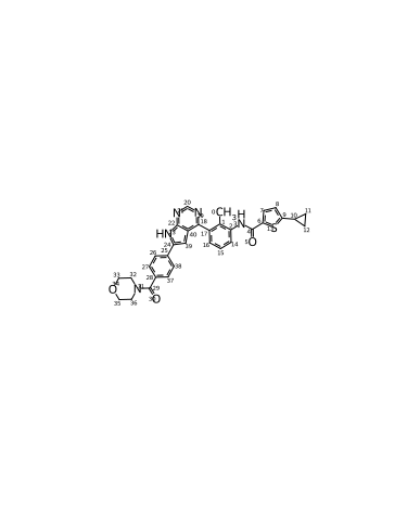 Cc1c(NC(=O)c2ccc(C3CC3)s2)cccc1-c1ncnc2[nH]c(-c3ccc(C(=O)N4CCOCC4)cc3)cc12